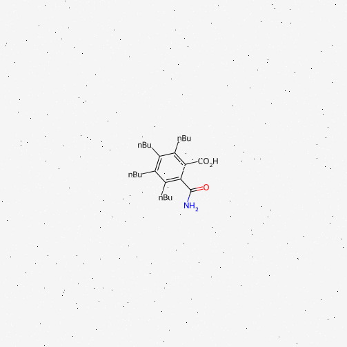 CCCCc1c(CCCC)c(CCCC)c(C(=O)O)c(C(N)=O)c1CCCC